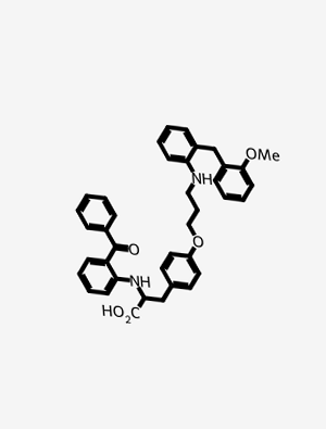 COc1ccccc1Cc1ccccc1NCCCOc1ccc(CC(Nc2ccccc2C(=O)c2ccccc2)C(=O)O)cc1